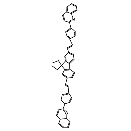 CCC1(CC)c2cc(/C=C/C3=CCC(C4=NC5C=CC=CC5C=C4)C=C3)ccc2-c2ccc(/C=C/c3ccc(-c4ccc5ccccc5n4)cc3)cc21